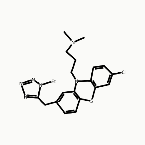 CCn1nnnc1Cc1ccc2c(c1)N(CCCN(C)C)c1ccc(Cl)cc1S2